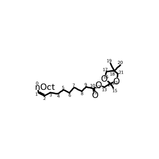 CCCCCCCC/C=C\CCCCCCCC(=O)OCC1(C)OCC(C)(C)CO1